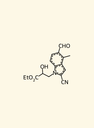 CCOC(=O)C(O)Cn1c(C#N)cc2c(C)c(C=O)ccc21